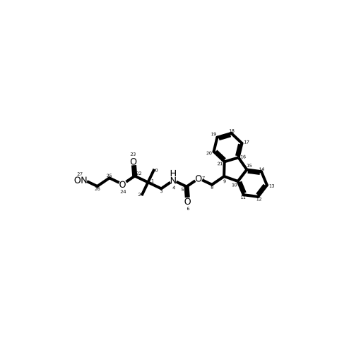 CC(C)(CNC(=O)OCC1c2ccccc2-c2ccccc21)C(=O)OCCN=O